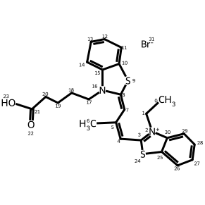 CC[n+]1c(C=C(C)C=C2Sc3ccccc3N2CCCCC(=O)O)sc2ccccc21.[Br-]